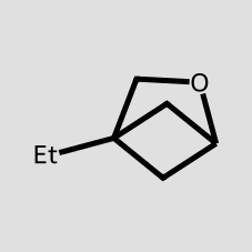 CCC12COC(C1)C2